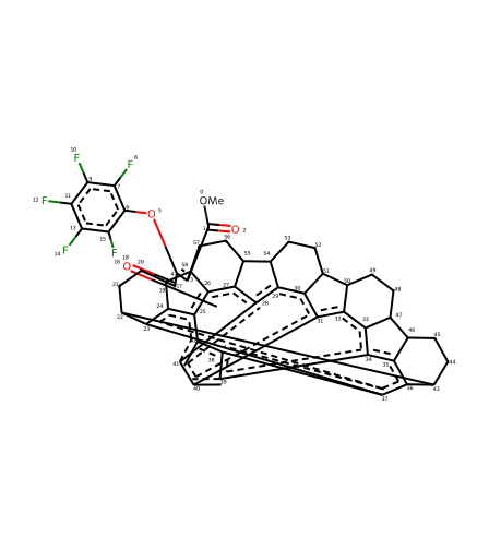 COC(=O)C1=C(Oc2c(F)c(F)c(F)c(F)c2F)C(=O)C23CCC4c5c2c2c6c7c8c9c%10c%11c%12c%13c%14c%15c(c5c5c%14c%11c8c25)C4CCC%15C%13CCC%12C%10CCC9C7CCC163